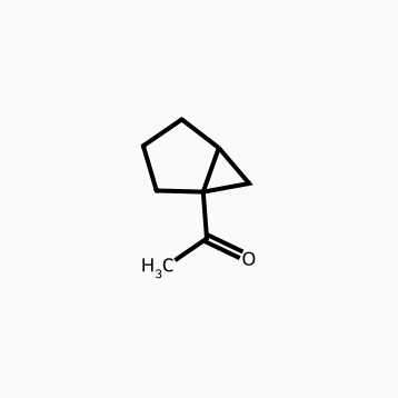 CC(=O)C12CCCC1C2